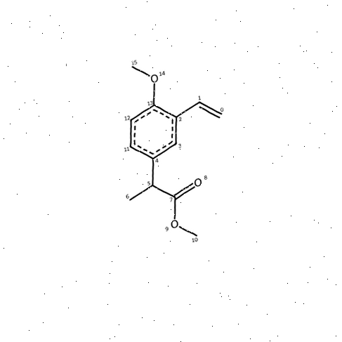 C=Cc1cc(C(C)C(=O)OC)ccc1OC